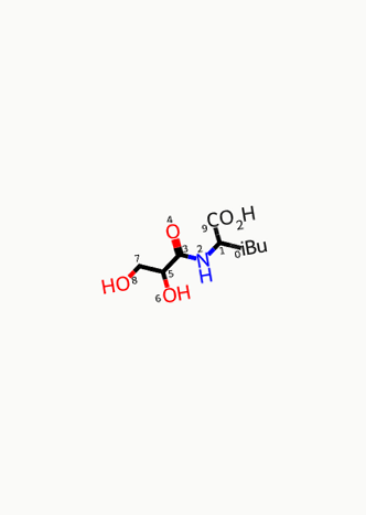 CCC(C)C(NC(=O)C(O)CO)C(=O)O